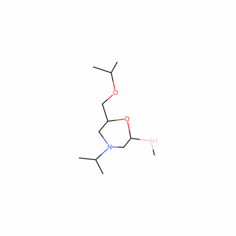 CBC1CN(C(C)C)CC(COC(C)C)O1